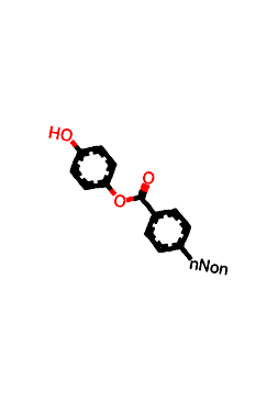 CCCCCCCCCc1ccc(C(=O)Oc2ccc(O)cc2)cc1